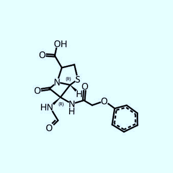 O=CN[C@@]1(NC(=O)COc2ccccc2)C(=O)N2C(C(=O)O)CS[C@@H]21